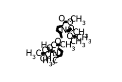 COC(=O)[C@@H]1CCC(COC(C)(C)[C@@H]2CC[C@H](C)N2C(=O)OC(C)(C)C)N1C(=O)OC(C)(C)C